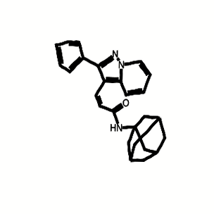 O=C(/C=C\c1c(-c2ccccc2)nn2ccccc12)NC12CC3CC(CC(C3)C1)C2